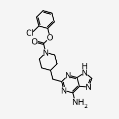 Nc1nc(CC2CCN(C(=O)Oc3ccccc3Cl)CC2)nc2[nH]cnc12